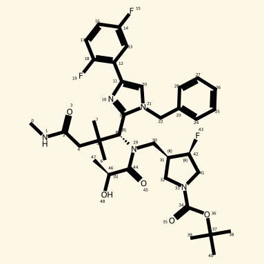 CNC(=O)CC(C)(C)[C@H](c1nc(-c2cc(F)ccc2F)cn1Cc1ccccc1)N(C[C@@H]1CN(C(=O)OC(C)(C)C)C[C@@H]1F)C(=O)[C@H](C)O